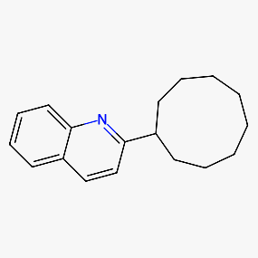 c1ccc2nc(C3CCCCCCCC3)ccc2c1